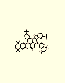 CC1=CC2C3B(c4cc(C(C)(C)C)ccc4N2c2cc4c(cc2C)C(C)(C)CCC4(C)C)c2oc4c(c2N(c2ccc5c(c2)C(C)(C)CCC5(C)C)C3=C1)C=C(C(C)(C)C)CC4